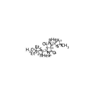 CCCCCCN1C(=O)C2=C(c3ccc(C(C)(CC)CC)s3)N(CCCCCC)C(=O)C2=C1C1=CCC(C)S1